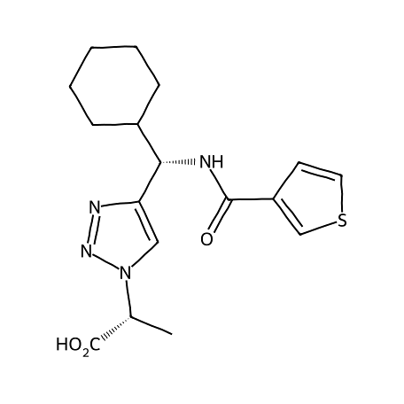 C[C@H](C(=O)O)n1cc([C@@H](NC(=O)c2ccsc2)C2CCCCC2)nn1